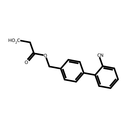 N#Cc1ccccc1-c1ccc(COC(=O)CC(=O)O)cc1